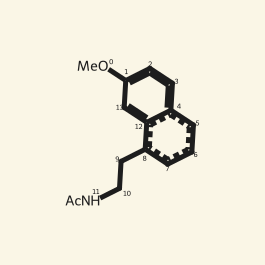 COC1=C=C=c2cccc(CCNC(C)=O)c2=C1